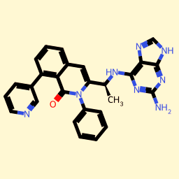 C[C@H](Nc1nc(N)nc2[nH]cnc12)c1cc2cccc(-c3cccnc3)c2c(=O)n1-c1ccccc1